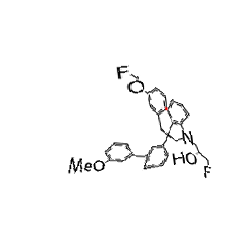 COc1cccc(-c2cccc(C3(Cc4cccc(OCF)c4)CN(C[C@@H](O)CF)c4ccccc43)c2)c1